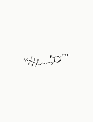 O=C(O)c1ccc(OCCCCC(F)(F)C(F)(F)C(F)(F)C(F)(F)F)c(F)c1